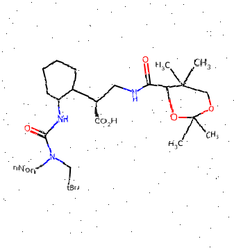 CCCCCCCCCN(CC(C)(C)C)C(=O)NC1CCCCC1[C@@H](CNC(=O)C1OC(C)(C)OCC1(C)C)C(=O)O